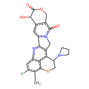 Cc1c(F)cc2nc3c(c4c2c1SCC4N1CCC1)Cn1c-3cc2c(c1=O)COC(=O)C2O